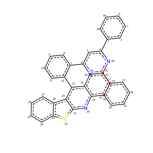 c1ccc(-c2cc(-c3ccccc3-c3c4ccccc4nc4sc5ccccc5c34)nc(-c3ccccc3)n2)cc1